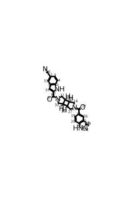 N#Cc1ccc2[nH]c(C(=O)N3C[C@@H]4[C@H]5CN(C(=O)c6ccc7[nH]nnc7c6)C[C@H]5[C@@H]4C3)cc2c1